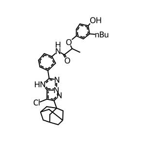 CCCCc1cc(OC(C)C(=O)Nc2cccc(-c3nn4nc(C56CC7CC(CC(C7)C5)C6)c(Cl)c4[nH]3)c2)ccc1O